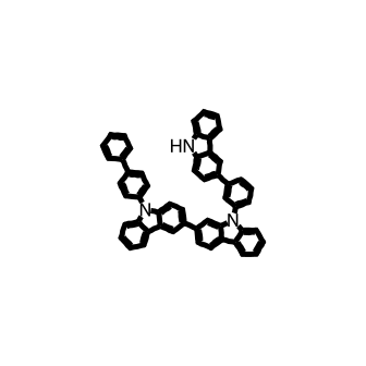 c1ccc(-c2ccc(-n3c4ccccc4c4cc(-c5ccc6c7ccccc7n(-c7cccc(-c8ccc9[nH]c%10ccccc%10c9c8)c7)c6c5)ccc43)cc2)cc1